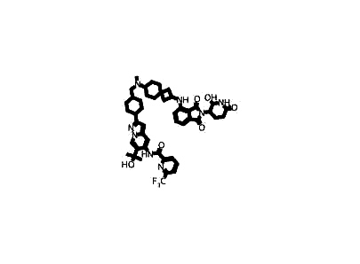 CN(CC1CCC(c2cc3cc(NC(=O)c4cccc(C(F)(F)F)n4)c(C(C)(C)O)cn3n2)CC1)C1CCC2(CC1)CC(Nc1cccc3c1C(=O)N(C1CCC(=O)NC1O)C3=O)C2